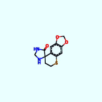 O=C1NCNC12CCSc1cc3c(cc12)OCO3